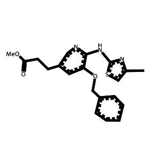 COC(=O)CCc1cnc(Nc2nc(C)cs2)c(OCc2ccccc2)c1